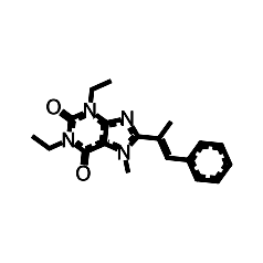 CCn1c(=O)c2c(nc(/C(C)=C/c3ccccc3)n2C)n(CC)c1=O